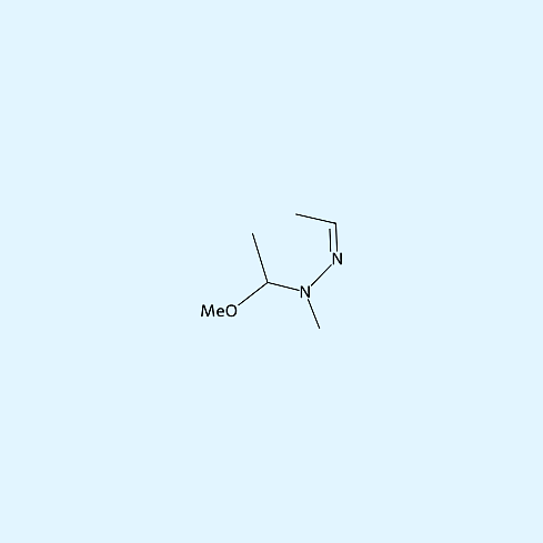 C/C=N\N(C)C(C)OC